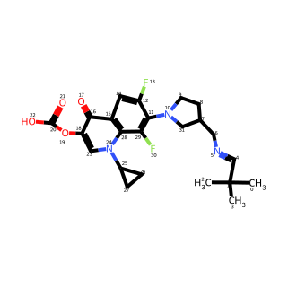 CC(C)(C)C=NCC1CCN(c2c(F)cc3c(=O)c(OC(=O)O)cn(C4CC4)c3c2F)C1